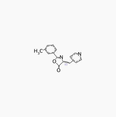 Cc1cccc(C2=N/C(=C\c3ccncc3)C(=O)O2)c1